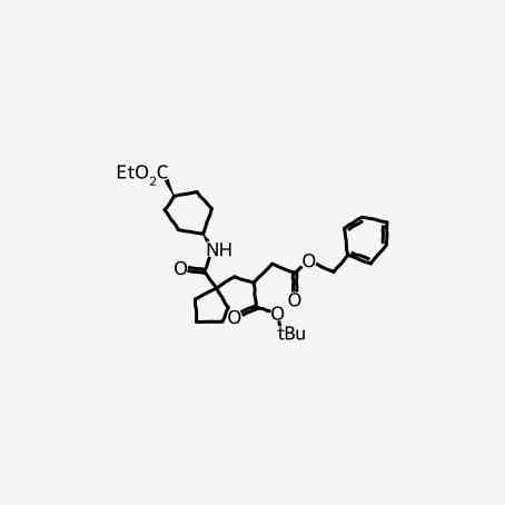 CCOC(=O)[C@H]1CC[C@@H](NC(=O)C2(CC(CC(=O)OCc3ccccc3)C(=O)OC(C)(C)C)CCCC2)CC1